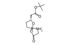 CC(C)(C)OC(=O)C[C@@H]1CC[B-]2([NH2+]CC(=O)O2)O1